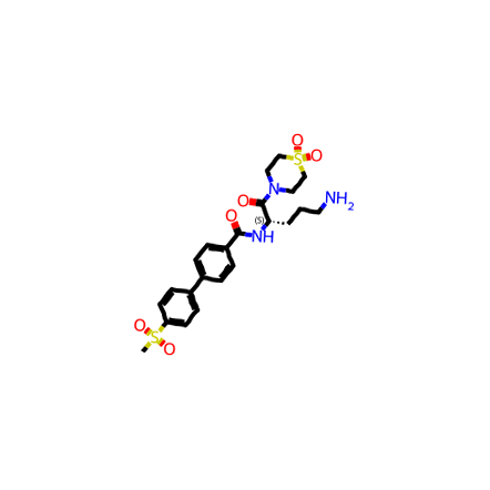 CS(=O)(=O)c1ccc(-c2ccc(C(=O)N[C@@H](CCCN)C(=O)N3CCS(=O)(=O)CC3)cc2)cc1